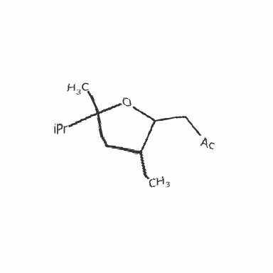 CC(=O)CC1OC(C)(C(C)C)CC1C